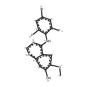 COc1cc2c(Nc3c(F)cc(Br)cc3F)ncnc2cc1O